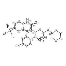 COc1ccc(Cl)cc1-c1c(SCC(O)CN2CCCCC2)c(=O)[nH]c2ccc(C(F)(F)F)cc12